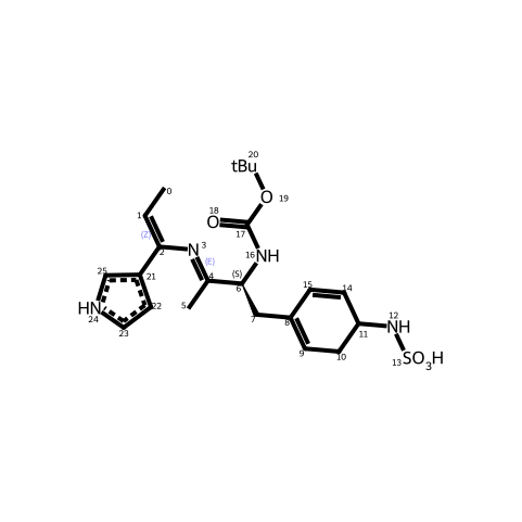 C/C=C(\N=C(/C)[C@H](CC1=CCC(NS(=O)(=O)O)C=C1)NC(=O)OC(C)(C)C)c1cc[nH]c1